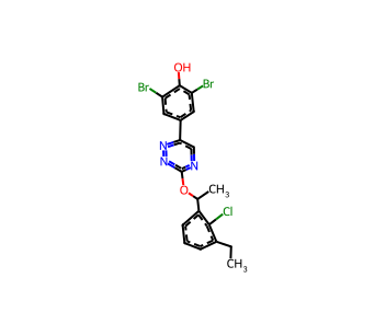 CCc1cccc(C(C)Oc2ncc(-c3cc(Br)c(O)c(Br)c3)nn2)c1Cl